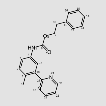 Cc1ccc(NC(=O)OCCc2ccccc2)cc1-c1ncccn1